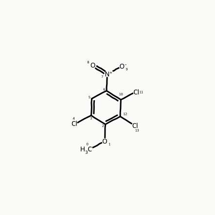 COc1c(Cl)cc([N+](=O)[O-])c(Cl)c1Cl